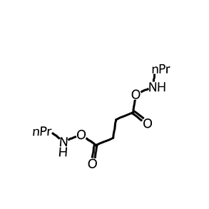 CCCNOC(=O)CCC(=O)ONCCC